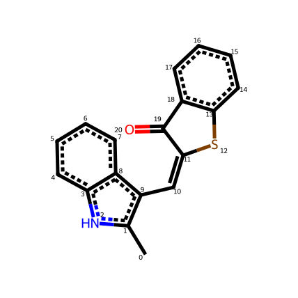 Cc1[nH]c2ccccc2c1/C=C1/Sc2ccccc2C1=O